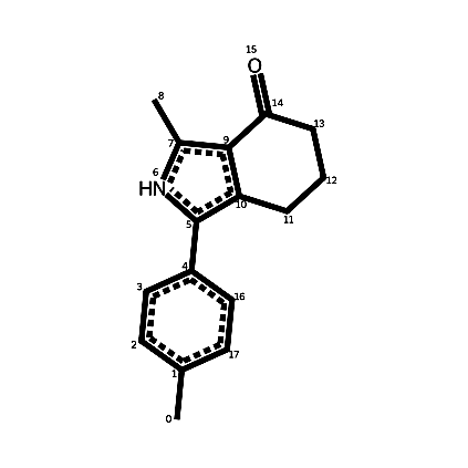 Cc1ccc(-c2[nH]c(C)c3c2CCCC3=O)cc1